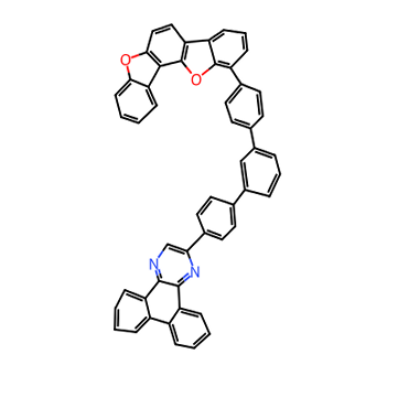 c1cc(-c2ccc(-c3cnc4c5ccccc5c5ccccc5c4n3)cc2)cc(-c2ccc(-c3cccc4c3oc3c4ccc4oc5ccccc5c43)cc2)c1